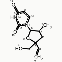 C=CC1(CO)C[C@H](C)C(n2ccc(=O)[nH]c2=O)O1